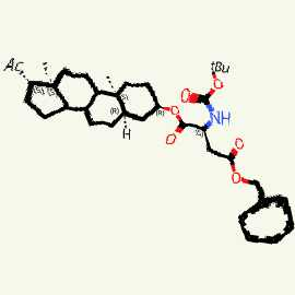 CC(=O)[C@H]1CCC2C3CC[C@@H]4C[C@H](OC(=O)[C@H](CC(=O)OCc5ccccc5)NC(=O)OC(C)(C)C)CC[C@]4(C)C3CC[C@@]21C